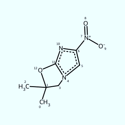 CC1(C)Cn2cc([N+](=O)[O-])nc2O1